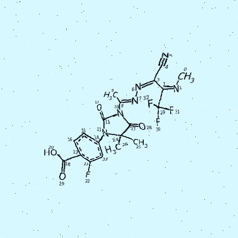 C\N=C(/C(C#N)=N\N=C(/C)N1C(=O)N(c2ccc(C(=O)O)c(F)c2)C(C)(C)C1=O)C(F)(F)F